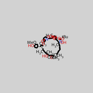 CO[C@@H]1C[C@H](C[C@@H](C)[C@@H]2CC[C@H](C)/C=C(\C)[C@@H](O)[C@@H](OC)C(=O)[C@H](C)C[C@H](C)/C=C/C=C/C=C(\C)[C@@H](N(O)C(=O)OC(C)(C)C)C[C@@H]3CC[C@@H](C)[C@@](O)(O3)C(=O)C(=O)N3CCCC[C@H]3C(=O)O2)CC[C@H]1O